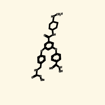 CC(C)(C)OC(=O)NCc1ccc(Oc2cc(Oc3ccc(C(=N)NO)cc3)cc(C(=O)NC3CCC(NC(=O)O)CC3)c2)cc1